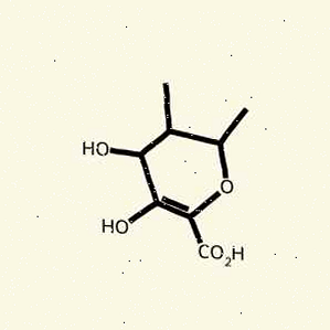 CC1OC(C(=O)O)=C(O)C(O)C1C